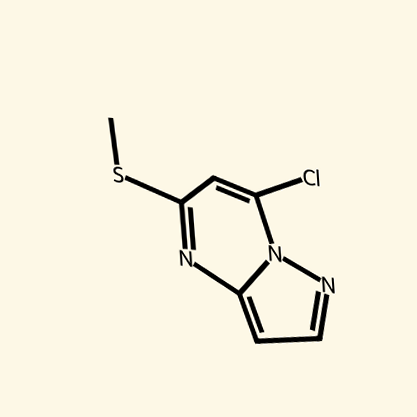 CSc1cc(Cl)n2nccc2n1